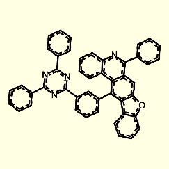 c1ccc(-c2nc(-c3ccccc3)nc(-c3cccc(-c4c5c(cc6c(-c7ccccc7)nc7ccccc7c46)oc4ccccc45)c3)n2)cc1